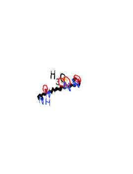 CS(=O)(=O)N(CCCCCCCCNC(=O)C=Cc1cccnc1)CCCN1CCOCC1